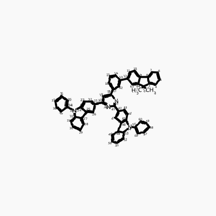 CC1(C)c2ccccc2-c2ccc(-c3cccc(-c4cc(-c5ccc6c(c5)c5ccccc5n6-c5ccccc5)nc(-c5ccc6c(c5)C5C=CC=CC5N6c5ccccc5)n4)c3)cc21